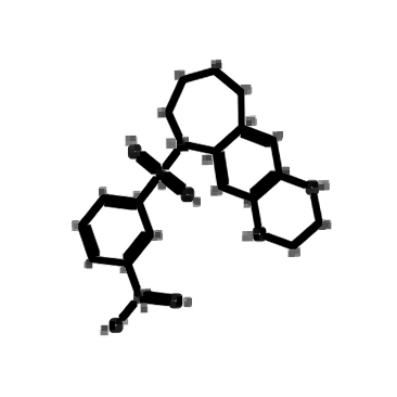 O=[N+]([O-])c1cccc(S(=O)(=O)N2CCCCc3cc4c(cc32)OCCO4)c1